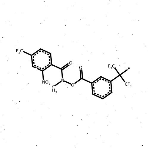 CN(OC(=O)c1cccc(C(F)(C(F)(F)F)C(F)(F)F)c1)C(=O)c1ccc(C(F)(F)F)cc1[N+](=O)[O-]